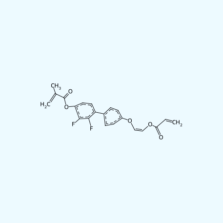 C=CC(=O)O/C=C\Oc1ccc(-c2ccc(OC(=O)C(=C)C)c(F)c2F)cc1